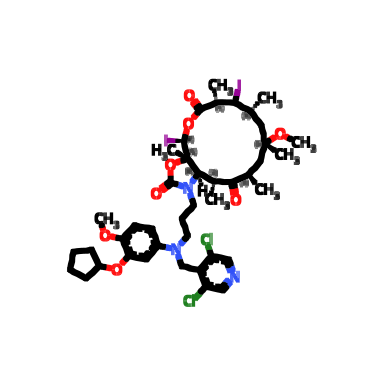 COc1ccc(N(CCCN2C(=O)O[C@]3(C)[C@@H](I)OC(=O)[C@H](C)C(I)[C@H](C)C[C@](C)(OC)C[C@@H](C)C(=O)[C@H](C)[C@@H]23)Cc2c(Cl)cncc2Cl)cc1OC1CCCC1